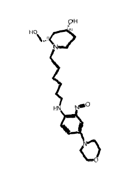 O=Nc1cc(N2CCOCC2)ccc1NCCCCCCN1CC[C@@H](O)C[C@H]1CO